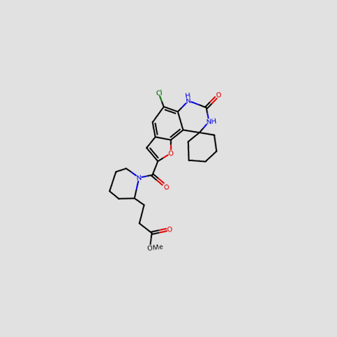 COC(=O)CCC1CCCCN1C(=O)c1cc2cc(Cl)c3c(c2o1)C1(CCCCC1)NC(=O)N3